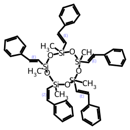 C[Si]1(/C=C\c2ccccc2)O[Si](C)(/C=C/c2ccccc2)O[Si](C)(/C=C/c2ccccc2)O[Si](C)(/C=C/c2ccccc2)O[Si](C)(/C=C/c2ccccc2)O1